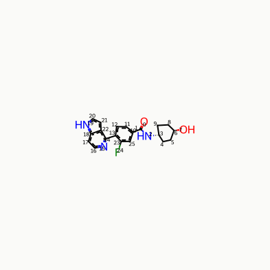 O=C(N[C@H]1CC[C@H](O)CC1)c1ccc(-c2nccc3[nH]ccc23)c(F)c1